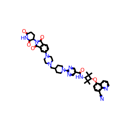 CC1(C)[C@H](NC(=O)c2cnc(N3CCC(CN4CCN(c5ccc6c(c5)C(=O)N(C5CCC(=O)NC5=O)C6=O)CC4)CC3)nc2)C(C)(C)[C@H]1Oc1ccc(C#N)c2ncccc12